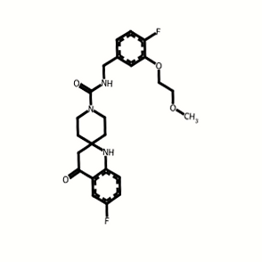 COCCOc1cc(CNC(=O)N2CCC3(CC2)CC(=O)c2cc(F)ccc2N3)ccc1F